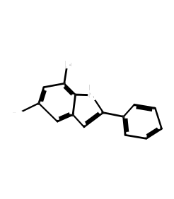 Brc1cc(Br)c2[nH]c(-c3ccccc3)cc2c1